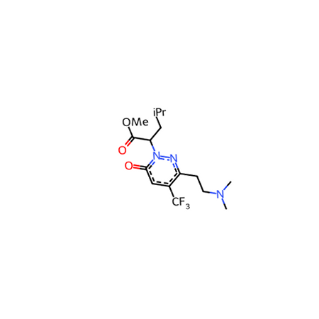 COC(=O)C(CC(C)C)n1nc(CCN(C)C)c(C(F)(F)F)cc1=O